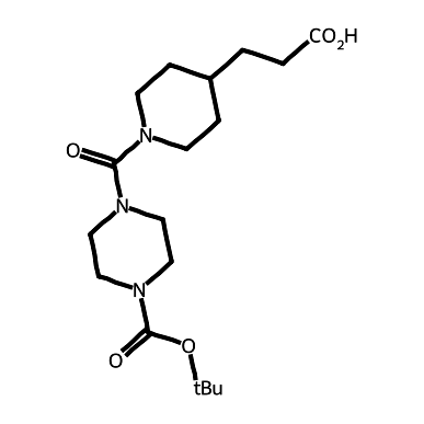 CC(C)(C)OC(=O)N1CCN(C(=O)N2CCC(CCC(=O)O)CC2)CC1